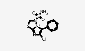 NS(=O)(=O)N1CSC2=NC(Cl)=C(c3ccccc3)[N+]21